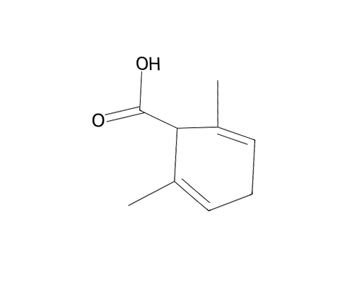 CC1=CCC=C(C)C1C(=O)O